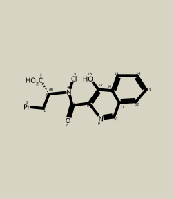 CC(C)C[C@H](C(=O)O)N(Cl)C(=O)c1ncc2ccccc2c1O